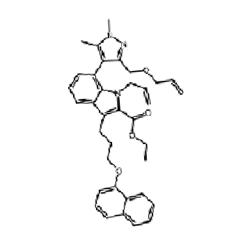 C=CCOCc1nn(C)c(C)c1-c1cccc2c(CCCOc3cccc4ccccc34)c(C(=O)OCC)n(CC=C)c12